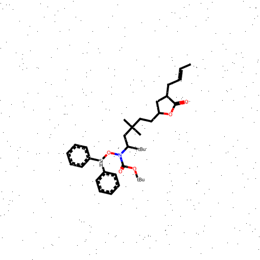 CC=CCC1CC(CCC(C)(C)CC(N(O[SiH](c2ccccc2)c2ccccc2)C(=O)OC(C)(C)C)C(C)(C)C)OC1=O